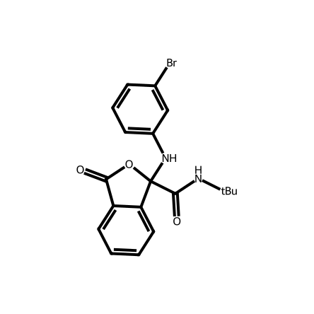 CC(C)(C)NC(=O)C1(Nc2cccc(Br)c2)OC(=O)c2ccccc21